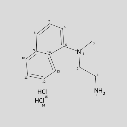 CN(CCN)c1cccc2ccccc12.Cl.Cl